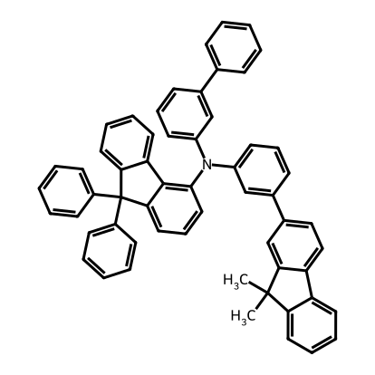 CC1(C)c2ccccc2-c2ccc(-c3cccc(N(c4cccc(-c5ccccc5)c4)c4cccc5c4-c4ccccc4C5(c4ccccc4)c4ccccc4)c3)cc21